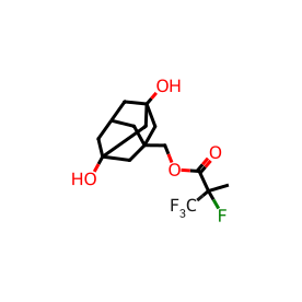 CC(F)(C(=O)OCC12CC3CC(O)(CC(O)(C3)C1)C2)C(F)(F)F